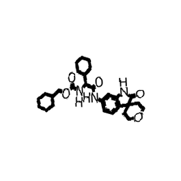 O=C(NC(C(=O)Nc1ccc2c(c1)NC(=O)C21CCOCC1)C1CCCCC1)OCC1CCCCC1